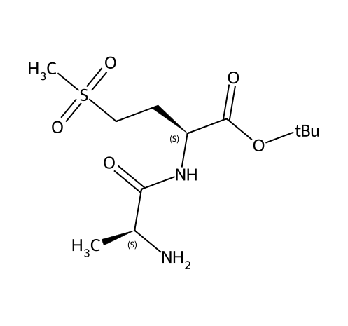 C[C@H](N)C(=O)N[C@@H](CCS(C)(=O)=O)C(=O)OC(C)(C)C